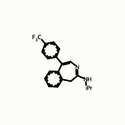 CC(C)NC1=NC=C(c2ccc(C(F)(F)F)cc2)c2ccccc2C1